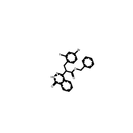 O=C(OCc1ccccc1)C(Cc1ccc(Br)cc1F)c1n[nH]c(=O)c2ccccc12